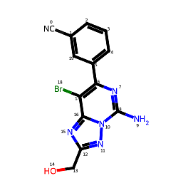 N#Cc1cccc(-c2nc(N)n3nc(CO)nc3c2Br)c1